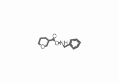 O=C(ONCc1ccccc1)C1CCCOC1